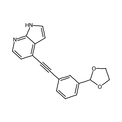 C(#Cc1ccnc2[nH]ccc12)c1cccc(C2OCCO2)c1